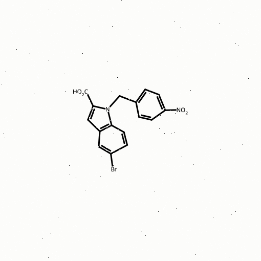 O=C(O)c1cc2cc(Br)ccc2n1Cc1ccc([N+](=O)[O-])cc1